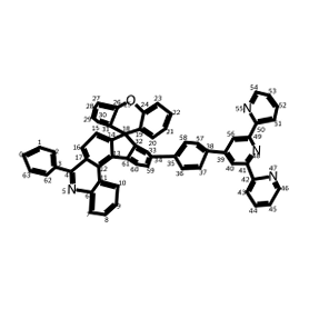 c1ccc(-c2nc3ccccc3c3c4c(ccc23)C2(c3ccccc3Oc3ccccc32)c2cc(-c3ccc(-c5cc(-c6ccccn6)nc(-c6ccccn6)c5)cc3)ccc2-4)cc1